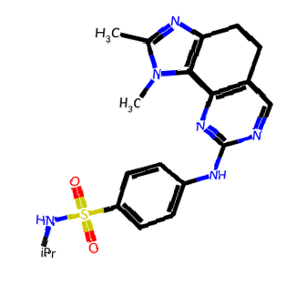 Cc1nc2c(n1C)-c1nc(Nc3ccc(S(=O)(=O)NC(C)C)cc3)ncc1CC2